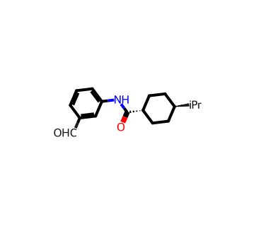 CC(C)[C@H]1CC[C@H](C(=O)Nc2cccc(C=O)c2)CC1